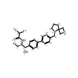 O=C(N[C@H](CF)[C@@H](O)c1ccc(-c2ccc(CN3CCCC34COC4)nc2)cc1)C(F)F